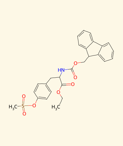 CCOC(=O)C(Cc1ccc(OS(C)(=O)=O)cc1)NC(=O)OCC1c2ccccc2-c2ccccc21